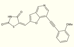 COc1ccccc1C#Cc1cncc2cc(/C=C3/SC(=O)NC3=O)oc12